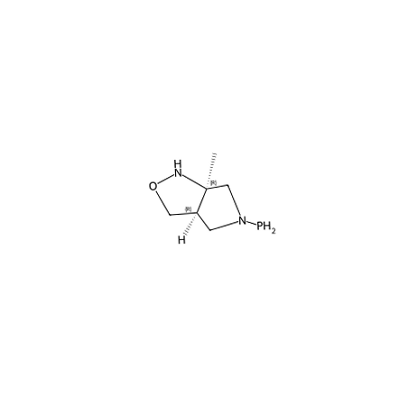 C[C@]12CN(P)C[C@H]1CON2